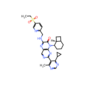 CCS(=O)(=O)c1ccc(CNc2nc3cnc(-c4c(C)ncnc4C4CC4)nc3n([C@@H]3CCCC4CC[C@H]43)c2=O)nc1